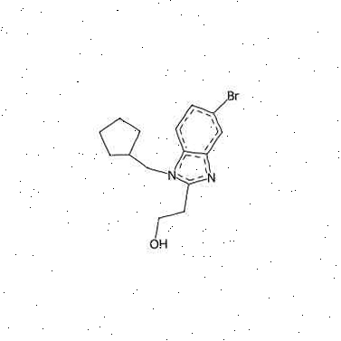 OCCc1nc2cc(Br)ccc2n1CC1CCCC1